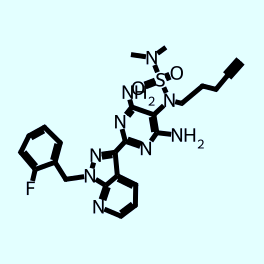 C#CCCCN(c1c(N)nc(-c2nn(Cc3ccccc3F)c3ncccc23)nc1N)S(=O)(=O)N(C)C